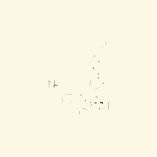 COCCN1CCN(c2ccc(-c3n[nH]c4cc(OC)c(-c5cccc(CC#N)c5C)nc34)cn2)CC1